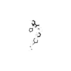 CC(C)(C)OC(=O)NCC1CCN(c2ccc(Nc3ncc4c5ccncc5n(C5CCCC5)c4n3)nn2)CC1